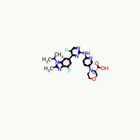 Cc1nc2c(F)cc(-c3nc(Nc4ccc(N5CCOC[C@H]5C(=O)O)cn4)ncc3F)cc2n1C(C)C